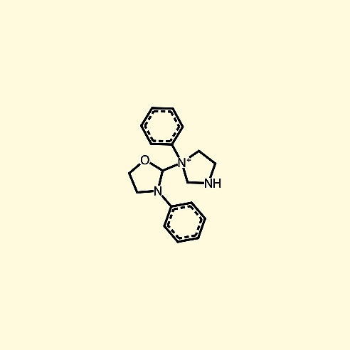 c1ccc(N2CCOC2[N+]2(c3ccccc3)CCNC2)cc1